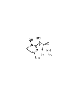 CCCCc1ccc(O)c2c1C(CC)(NCCC)C(=O)N2.Cl